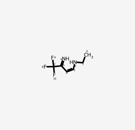 CCN/C=C\C(=N)C(F)(F)F